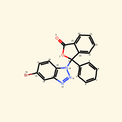 O=C1OC(c2ccccc2)(n2nnc3cc(Br)ccc32)c2ccccc21